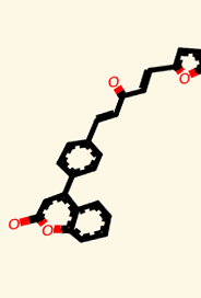 O=C(C=Cc1ccc(-c2cc(=O)oc3ccccc23)cc1)C=Cc1ccco1